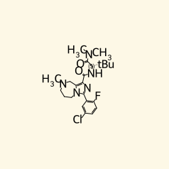 CN1CCCn2c(-c3cc(Cl)ccc3F)nc(C(=O)N[C@H](C(=O)N(C)C)C(C)(C)C)c2C1